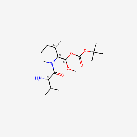 CC[C@H](C)[C@@H]([C@H](OC)OC(=O)OC(C)(C)C)N(C)C(=O)[C@@H](N)C(C)C